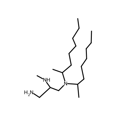 CCCCCCC(C)N(CC(CN)NC)C(C)CCCCCC